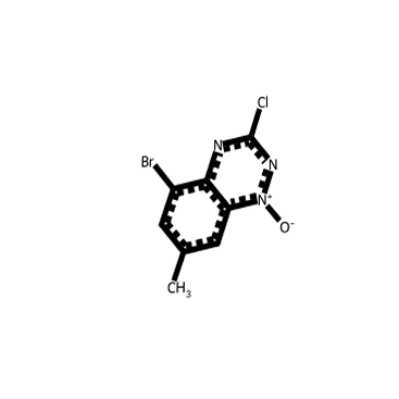 Cc1cc(Br)c2nc(Cl)n[n+]([O-])c2c1